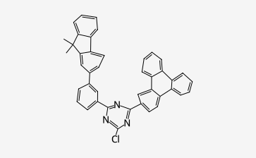 CC1(C)c2ccccc2-c2ccc(-c3cccc(-c4nc(Cl)nc(-c5ccc6c7ccccc7c7ccccc7c6c5)n4)c3)cc21